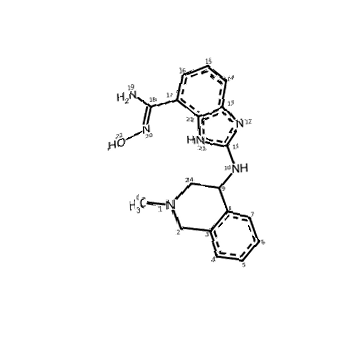 CN1Cc2ccccc2C(Nc2nc3cccc(C(N)=NO)c3[nH]2)C1